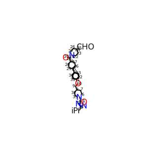 CC(C)c1noc(N2CCC(COc3ccc(C4=CCC(C(=O)N5CCC(C=O)CC5)CC4)cc3)CC2)n1